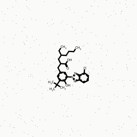 CCCCC(CC)CC(Cc1cc(-n2nc3cccc(Cl)c3n2)c(O)c(C(C)(C)C)c1)C(=O)O